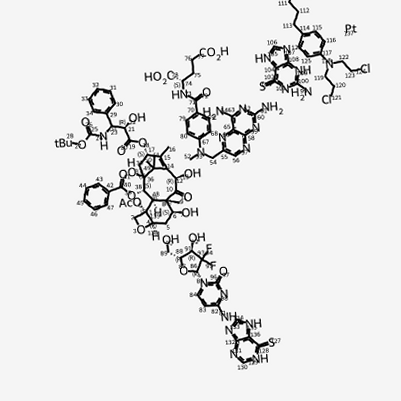 CC(=O)O[C@@]12CO[C@@H]1C[C@H](O)[C@@]1(C)C(=O)[C@H](O)C3=C(C)[C@@H](OC(=O)[C@H](O)[C@@H](NC(=O)OC(C)(C)C)c4ccccc4)C[C@@](O)([C@@H](OC(=O)c4ccccc4)[C@H]21)C3(C)C.CN(Cc1cnc2nc(N)nc(N)c2n1)c1ccc(C(=O)N[C@@H](CCC(=O)O)C(=O)O)cc1.Nc1ccn([C@@H]2O[C@H](CO)[C@@H](O)C2(F)F)c(=O)n1.Nc1nc(=S)c2[nH]cnc2[nH]1.O=C(O)CCCc1ccc(N(CCCl)CCCl)cc1.S=c1[nH]cnc2nc[nH]c12.[Pt]